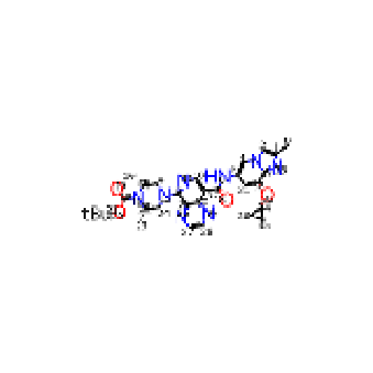 Cc1cn2cc(NC(=O)c3cnc(N4C[C@@H](C)N(C(=O)OC(C)(C)C)[C@@H](C)C4)c4nccnc34)cc(OC3CC3)c2n1